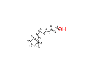 CC1=C(/C=C/C(C)/C=C/C/C(C)=C/CO)C(C)(C)CCC1